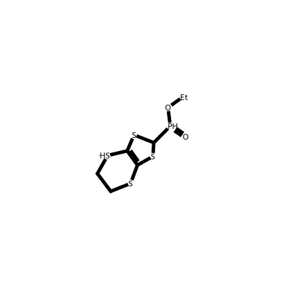 CCO[PH](=O)C1SC2=C(S1)[SH]CCS2